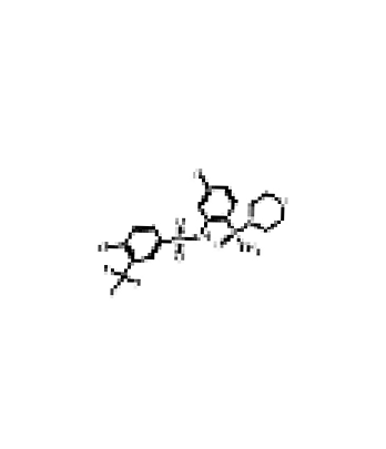 CP(=O)(c1ccc(Cl)cc1NS(=O)(=O)c1ccc(Cl)c(C(F)(F)F)c1)N1CCOCC1